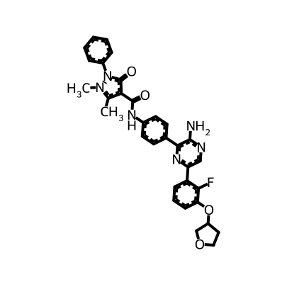 Cc1c(C(=O)Nc2ccc(-c3nc(-c4cccc(OC5CCOC5)c4F)cnc3N)cc2)c(=O)n(-c2ccccc2)n1C